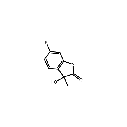 CC1(O)C(=O)Nc2cc(F)ccc21